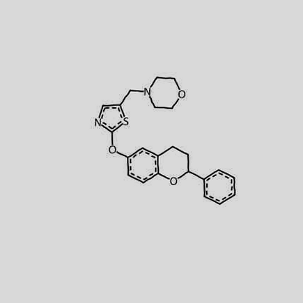 c1ccc(C2CCc3cc(Oc4ncc(CN5CCOCC5)s4)ccc3O2)cc1